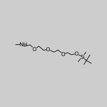 CNCCOCCOCCOCCO[Si](C)(C)C(C)(C)C